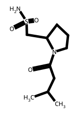 CC(C)CC(=O)N1CCCC1CS(N)(=O)=O